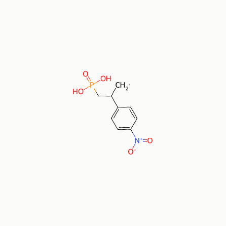 [CH2]C(CP(=O)(O)O)c1ccc([N+](=O)[O-])cc1